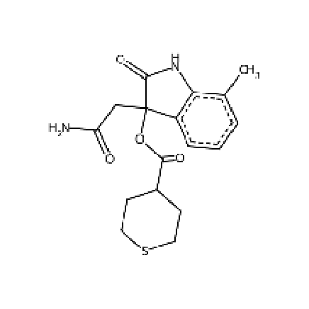 Cc1cccc2c1NC(=O)C2(CC(N)=O)OC(=O)C1CCSCC1